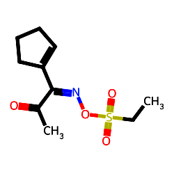 CCS(=O)(=O)ON=C(C(C)=O)C1=CCCC1